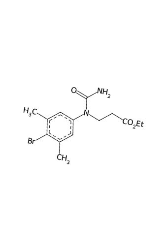 CCOC(=O)CCN(C(N)=O)c1cc(C)c(Br)c(C)c1